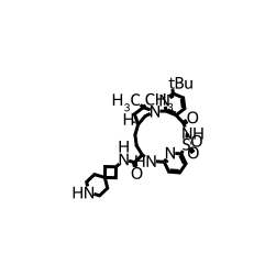 CC(C)(C)c1ccc2c(n1)N1C[C@@H](CCC(C(=O)NC3CC4(CCNCC4)C3)Nc3cccc(n3)S(=O)(=O)NC2=O)CC1(C)C